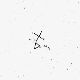 C[C@@]1(C(F)(F)F)C[C@H]1N